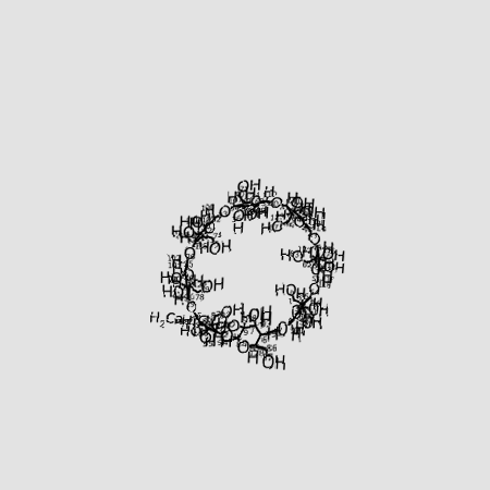 OC[C@H]1O[C@@H]2O[C@H]3[C@H](O)[C@@H](O)[C@@H](O[C@H]4[C@H](O)[C@@H](O)[C@@H](O[C@H]5[C@H](O)[C@@H](O)[C@@H](O[C@H]6[C@H](O)[C@@H](O)[C@@H](O[C@H]7[C@H](O)[C@@H](O)[C@@H](O[C@H]8[C@H](O)[C@@H](O)[C@@H](O[C@H]9[C@H](O)[C@@H](O)[C@@H](O[C@H]1[C@H](O)[C@H]2O)O[C@@H]9CO)O[C@@H]8CO)O[C@@H]7CO)O[C@@H]6CO)O[C@@H]5CO)O[C@@H]4CO)O[C@@H]3CO.[CaH2]